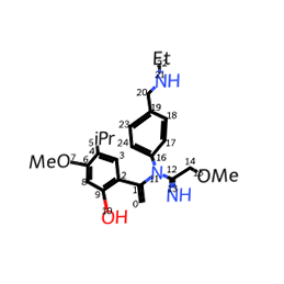 C=C(c1cc(C(C)C)c(OC)cc1O)N(C(=N)COC)c1ccc(CNCC)cc1